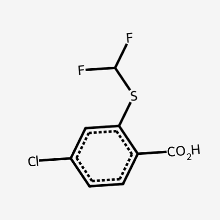 O=C(O)c1ccc(Cl)cc1SC(F)F